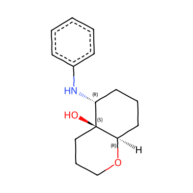 O[C@]12CCCO[C@@H]1CCC[C@H]2Nc1ccccc1